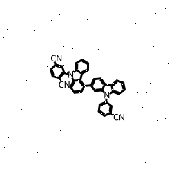 N#Cc1cccc(-n2c3ccccc3c3ccc(-c4cccc5c4c4ccccc4n5-c4cc(C#N)ccc4C#N)cc32)c1